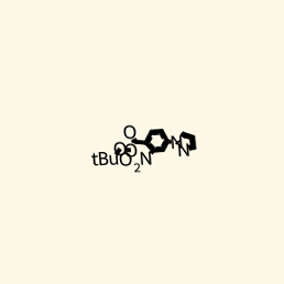 CC(C)(C)OOC(=O)c1ccc(-n2cccn2)cc1[N+](=O)[O-]